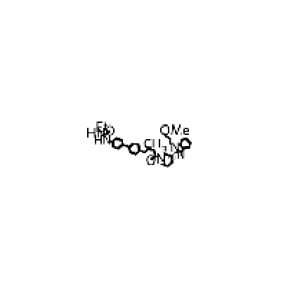 CCNC(=O)Nc1ccc(-c2ccc(C[C@@H](C)CC(=O)N3CCC[C@@H](c4nc5ccccc5n4CCCOC)C3)cc2)cc1